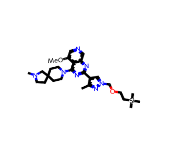 COc1cncc2nc(-c3cn(COCC[Si](C)(C)C)nc3C)nc(N3CCC4(CCN(C)C4)CC3)c12